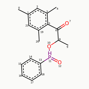 Cc1cc(C)c(C(=O)C(C)O[PH](=O)c2ccccc2)c(C)c1